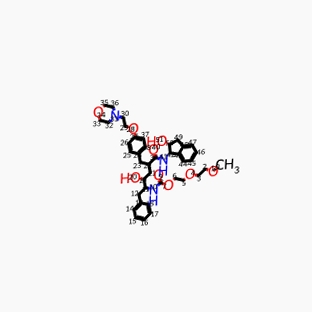 COCCOCCOC(=O)NC(Cc1ccccc1)C(O)CC(Cc1ccc(OCCN2CCOCC2)cc1)C(=O)N[C@H]1c2ccccc2C[C@@H]1O